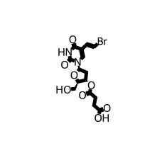 O=C(O)CCC(=O)O[C@H]1C[C@H](n2cc(/C=C/Br)c(=O)[nH]c2=O)O[C@@H]1CO